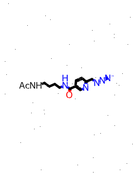 CC(=O)NCCCCNC(=O)c1ccc(CN=[N+]=[N-])nc1